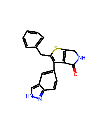 O=C1NCc2sc(Cc3ccccc3)c(-c3ccc4n[nH]cc4c3)c21